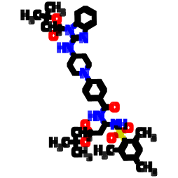 Cc1cc(C)c(S(=O)(=O)NC(CC(=O)OC(C)(C)C)NC(=O)c2ccc(N3CCC(Nc4nc5ccccc5n4C(=O)OC(C)(C)C)CC3)cc2)c(C)c1